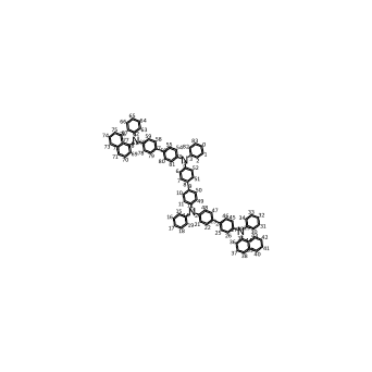 c1ccc(N(c2ccc(-c3ccc(N(c4ccccc4)c4ccc(-c5ccc(N(c6ccccc6)c6cccc7ccccc67)cc5)cc4)cc3)cc2)c2ccc(-c3ccc(N(c4ccccc4)c4cccc5ccccc45)cc3)cc2)cc1